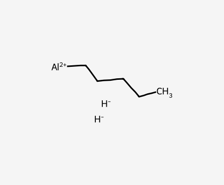 CCCC[CH2][Al+2].[H-].[H-]